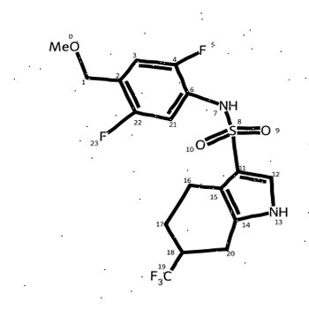 COCc1cc(F)c(NS(=O)(=O)c2c[nH]c3c2CCC(C(F)(F)F)C3)cc1F